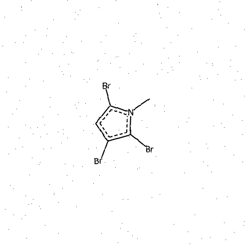 Cn1c(Br)cc(Br)c1Br